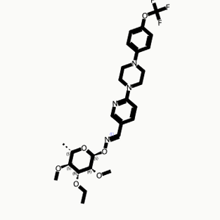 CCO[C@@H]1[C@@H](OC)[C@H](C)O[C@@H](O/N=C/c2ccc(N3CCN(c4ccc(OC(F)(F)F)cc4)CC3)nc2)[C@@H]1OC